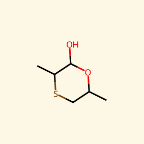 CC1CSC(C)C(O)O1